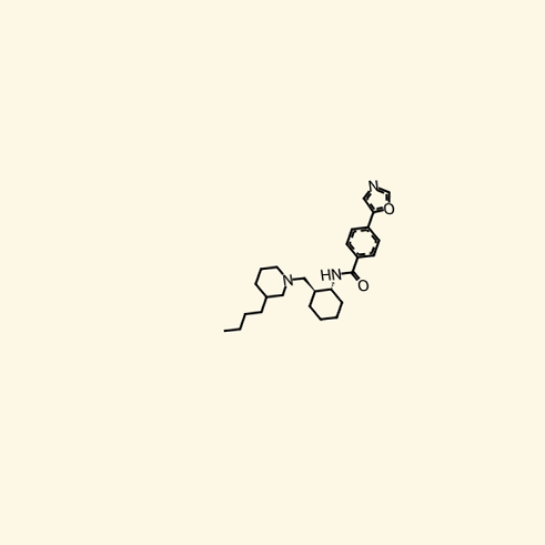 CCCCC1CCCN(C[C@@H]2CCCC[C@H]2NC(=O)c2ccc(-c3cnco3)cc2)C1